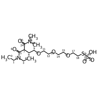 CCN(CC)C(=O)C(CCOCCOCCOCCSS(=O)(=O)O)C(=O)N(C)C